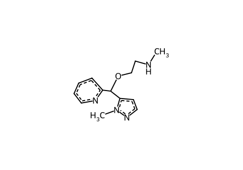 CNCCOC(c1ccccn1)c1ccnn1C